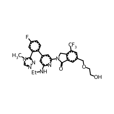 CCNc1cc(-c2ccc(F)cc2-c2nncn2C)cc(N2Cc3c(cc(COCCO)cc3C(F)(F)F)C2=O)n1